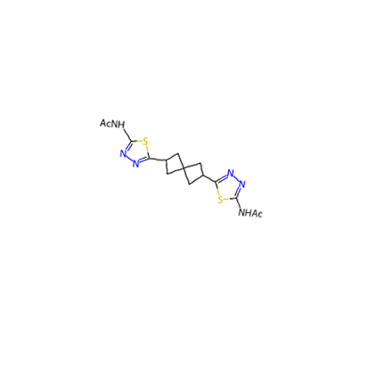 CC(=O)Nc1nnc(C2CC3(C2)CC(c2nnc(NC(C)=O)s2)C3)s1